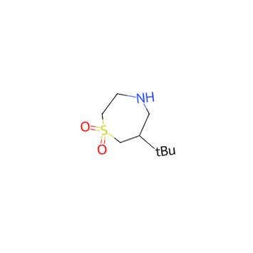 CC(C)(C)C1CNCCS(=O)(=O)C1